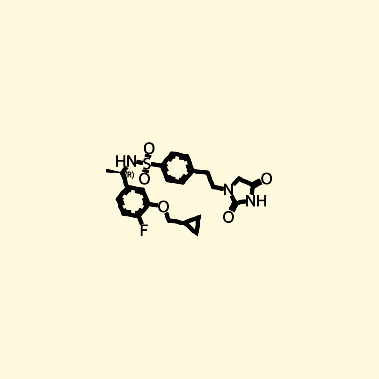 C[C@@H](NS(=O)(=O)c1ccc(CCN2CC(=O)NC2=O)cc1)c1ccc(F)c(OCC2CC2)c1